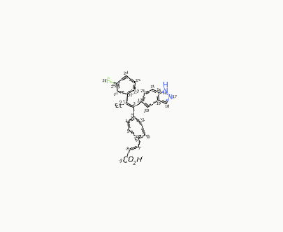 CCC(=C(c1ccc(C=CC(=O)O)cc1)c1ccc2[nH]ncc2c1)c1cccc(F)c1